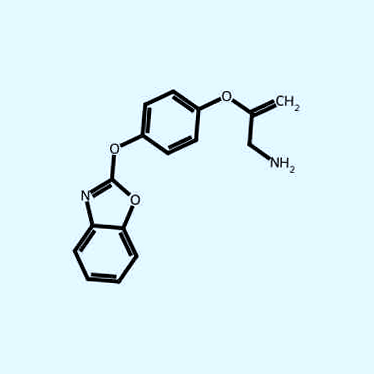 C=C(CN)Oc1ccc(Oc2nc3ccccc3o2)cc1